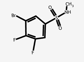 CNS(=O)(=O)c1cc(F)c(F)c(Br)c1